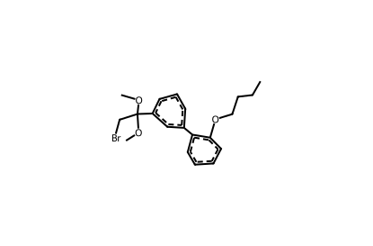 CCCCOc1ccccc1-c1cccc(C(CBr)(OC)OC)c1